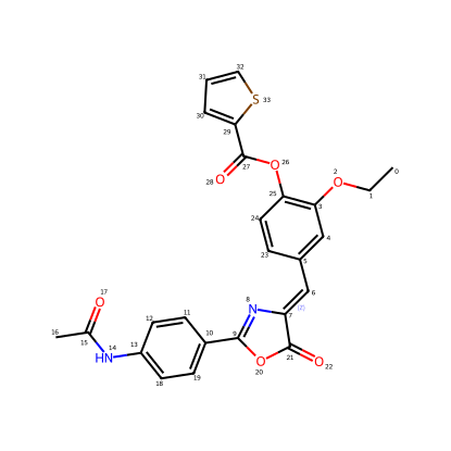 CCOc1cc(/C=C2\N=C(c3ccc(NC(C)=O)cc3)OC2=O)ccc1OC(=O)c1cccs1